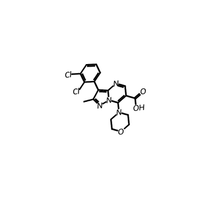 Cc1nn2c(N3CCOCC3)c(C(=O)O)cnc2c1-c1cccc(Cl)c1Cl